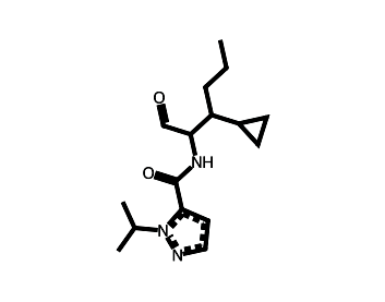 CCCC(C1CC1)C(C=O)NC(=O)c1ccnn1C(C)C